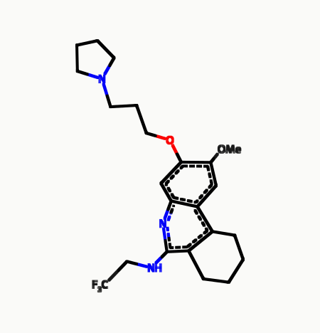 COc1cc2c3c(c(NCC(F)(F)F)nc2cc1OCCCN1CCCC1)CCCC3